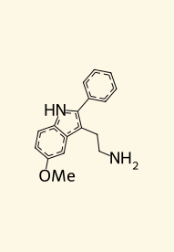 COc1ccc2[nH]c(-c3ccccc3)c(CCN)c2c1